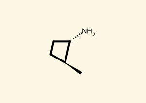 C[C@H]1CC[C@@H]1N